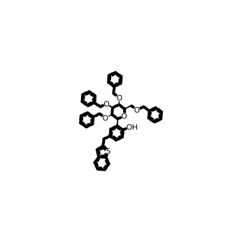 Oc1ccc(Cc2cc3ccccc3s2)cc1[C@@H]1O[C@H](COCc2ccccc2)[C@@H](OCc2ccccc2)[C@H](OCc2ccccc2)[C@H]1OCc1ccccc1